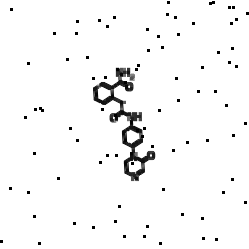 NC(=O)c1ccccc1[CH]C(=O)Nc1ccc(-n2ccncc2=O)cc1